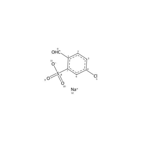 O=Cc1ccc(Cl)cc1S(=O)(=O)[O-].[Na+]